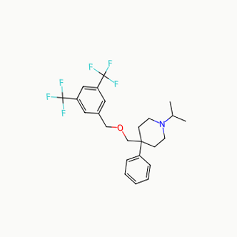 CC(C)N1CCC(COCc2cc(C(F)(F)F)cc(C(F)(F)F)c2)(c2ccccc2)CC1